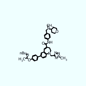 CCCCOC(C)Oc1ccc(-c2ccc3c(c2)C=C(C(=O)Nc2ccc(CN(C)C4CCOCC4)cc2)CCN3Cc2nnn(C)n2)cc1